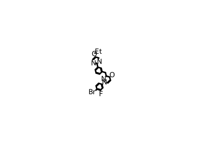 CCOc1cnc(-c2cccc(Cc3nn(-c4ccc(Br)c(F)c4)ccc3=O)c2)nc1